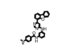 CN(C)c1ccc(C(=O)Nc2cccc(Nc3cc(-c4cccc5c4oc4ccccc45)ncn3)c2)cc1